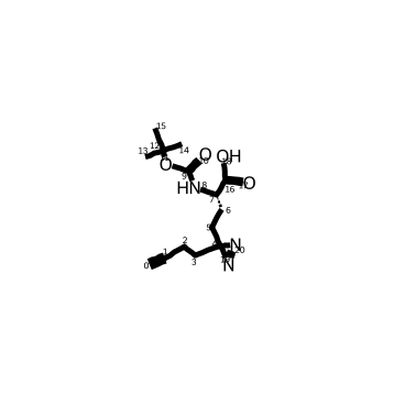 C#CCCC1(CC[C@H](NC(=O)OC(C)(C)C)C(=O)O)N=N1